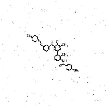 CCN1CCN(CCc2cccc(Nc3nc(-c4cccc(NC(=O)c5ccc(C(C)(C)C)cc5)c4C)cn(C)c3=O)c2)CC1